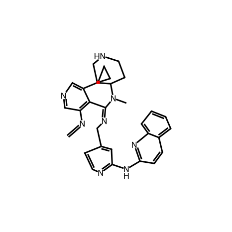 C=Nc1cncc(C2CC2)c1/C(=N\Cc1ccnc(Nc2ccc3ccccc3n2)c1)N(C)C1CCNCC1